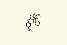 C=C(Nc1ccc(C)cc1)NC(C)(OC)c1ccccc1